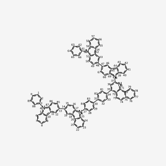 c1ccc(-n2c3ccccc3c3cc(-c4ccc5c(c4)c4ccccc4n5-c4ccc(-c5ccc(-c6cc(-n7c8ccccc8c8cc(-c9ccc%10c(c9)c9ccccc9n%10-c9ccccc9)ccc87)nc7c6ccc6ccccc67)cc5)cc4)ccc32)cc1